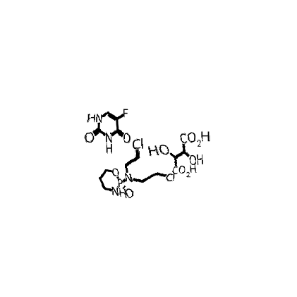 O=C(O)C(O)C(O)C(=O)O.O=P1(N(CCCl)CCCl)NCCCO1.O=c1[nH]cc(F)c(=O)[nH]1